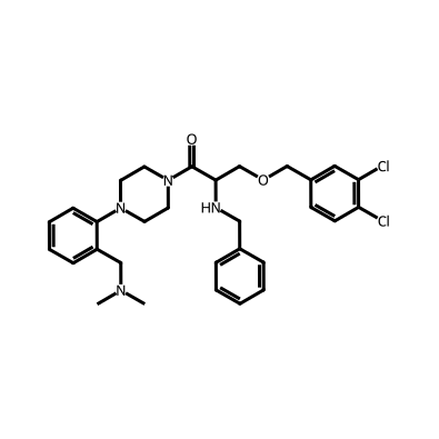 CN(C)Cc1ccccc1N1CCN(C(=O)C(COCc2ccc(Cl)c(Cl)c2)NCc2ccccc2)CC1